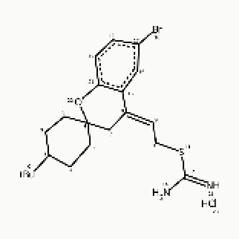 CC(C)(C)C1CCC2(CC1)CC(=CCSC(=N)N)c1cc(Br)ccc1O2.Cl